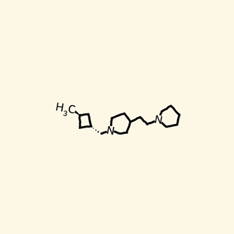 C[C@H]1C[C@H](CN2CCC(CCN3CCCCC3)CC2)C1